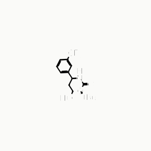 CC(C)(C)OC(=O)NC(CCO)c1cccc(C(F)(F)F)c1